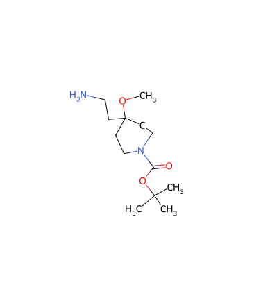 COC1(CCN)CCN(C(=O)OC(C)(C)C)CC1